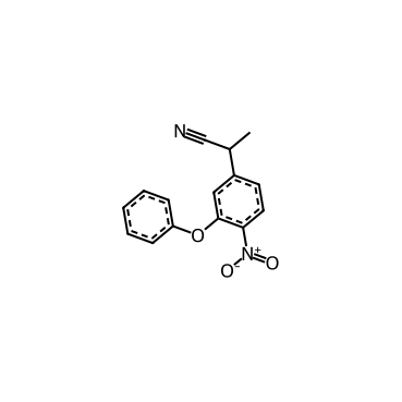 CC(C#N)c1ccc([N+](=O)[O-])c(Oc2ccccc2)c1